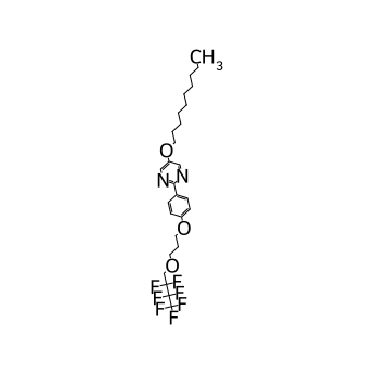 CCCCCCCCCCOc1cnc(-c2ccc(OCCCOCC(F)(F)C(F)(F)C(F)(F)F)cc2)nc1